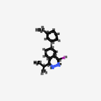 CC(c1nnc(I)c2cc(-c3cccc(C(=O)O)c3)ccc12)C(F)(F)F